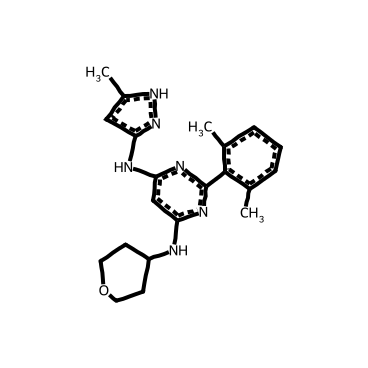 Cc1cc(Nc2cc(NC3CCOCC3)nc(-c3c(C)cccc3C)n2)n[nH]1